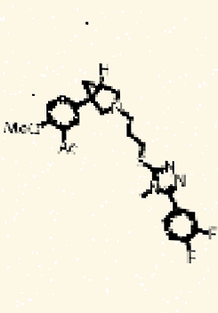 COc1ccc(C23C[C@@H]2CN(CCCSc2nnc(-c4ccc(F)c(F)c4)n2C)C3)cc1C(C)=O